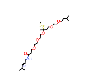 CSSC(C)(CCOCCOCCC(C)C)OCCOCCOCCC(=O)NC/C=C/C(C)C